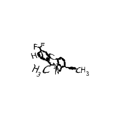 CC#Cc1ccc(C(=O)O)c2c1cnn2C(C)c1ccc(C(F)F)cc1